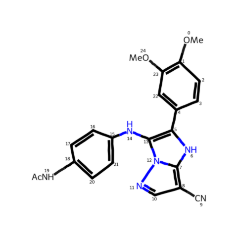 COc1ccc(-c2[nH]c3c(C#N)cnn3c2Nc2ccc(NC(C)=O)cc2)cc1OC